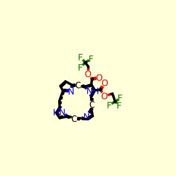 O=C(OCC(F)(F)F)c1c(C(=O)OCC(F)(F)F)c2cc3nc(cc4ccc(cc5nc(cc1[nH]2)C=C5)[nH]4)C=C3